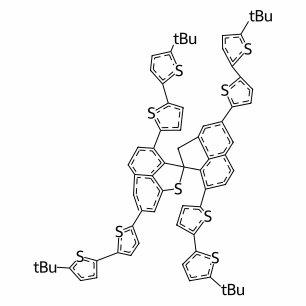 CC(C)(C)c1ccc(-c2ccc(-c3cc4c5c(c(-c6ccc(-c7ccc(C(C)(C)C)s7)s6)ccc5c3)C3(C4)Sc4cc(-c5ccc(-c6ccc(C(C)(C)C)s6)s5)cc5ccc(-c6ccc(-c7ccc(C(C)(C)C)s7)s6)c3c45)s2)s1